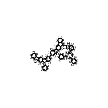 CC1(C)c2ccccc2-c2cc3c4ccc(-c5ccc6c(c5)c5cc7c(cc5n6-c5ccccc5)oc5ccccc57)cc4n(-c4cccc(-c5nc(-c6ccccc6)nc(-c6ccccc6)n5)c4)c3cc21